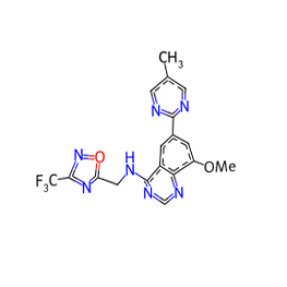 COc1cc(-c2ncc(C)cn2)cc2c(NCc3nc(C(F)(F)F)no3)ncnc12